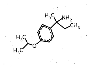 CCC(C)(N)c1ccc(OC(C)C)cc1